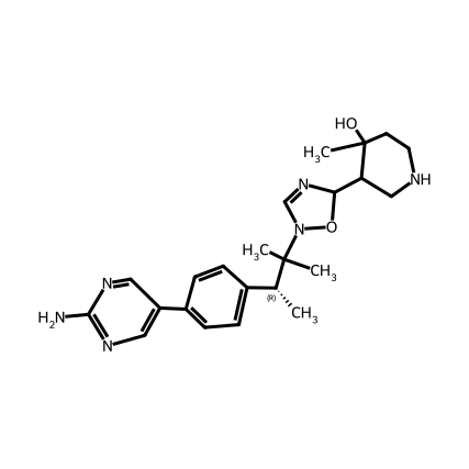 C[C@H](c1ccc(-c2cnc(N)nc2)cc1)C(C)(C)N1C=NC(C2CNCCC2(C)O)O1